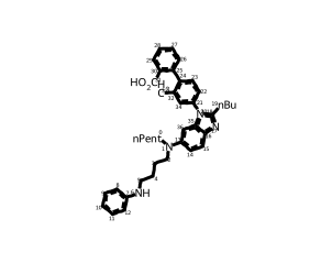 CCCCCN(CCCCNc1ccccc1)c1ccc2nc(CCCC)n(-c3ccc(-c4ccccc4C(=O)O)c(C)c3)c2c1